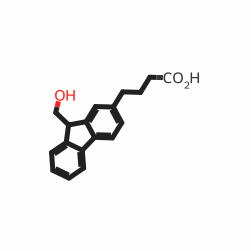 O=C(O)CCCc1ccc2c(c1)C(CO)c1ccccc1-2